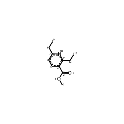 COC(=O)c1ccc(CI)nc1CI